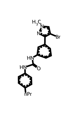 CCCc1ccc(NC(=O)Nc2cccc(-c3nn(C)cc3Br)c2)cc1